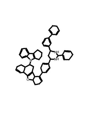 C1=CC(c2cccc(C3CC(C4=CCC(C5=CCCC6OC7=C(CC(n8c9c(c%10ccccc%108)CCCC9)C8CCC=CC78)C56)C=C4)NC(C4=CCCC=C4)N3)c2)=CCC1